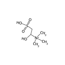 C[N+](C)(C)C(O)CS(=O)(=O)O